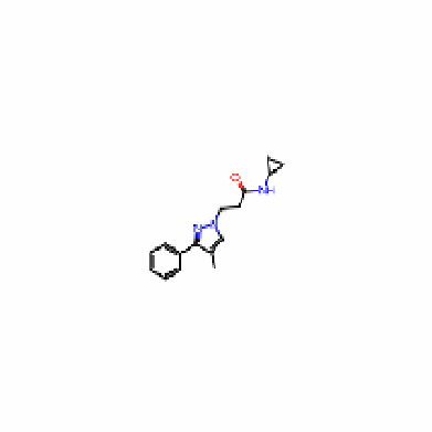 Cc1cn(CCC(=O)NC2CC2)nc1-c1ccccc1